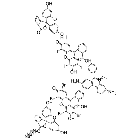 CC[n+]1c(-c2ccccc2)c2cc(N)ccc2c2ccc(N)cc21.O=C(O)c1ccccc1-c1c2cc(Br)c(=O)c(Br)c-2oc2c(Br)c(O)c(Br)cc12.O=C(O)c1ccccc1-c1c2cc(I)c(=O)c(I)c-2oc2c(I)c(O)c(I)cc12.O=C1OC2(c3ccc(O)cc3Oc3cc(O)ccc32)c2ccccc21.O=C1OC2(c3ccc(O)cc3Oc3cc(O)ccc32)c2ccccc21.[Na+].[Na+].[Na+].[Na+]